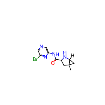 C[C@@]12C[C@@H](C(=O)Nc3cncc(Br)n3)N[C@@H]1C2